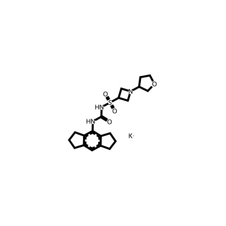 O=C(Nc1c2c(cc3c1CCC3)CCC2)NS(=O)(=O)C1CN(C2CCOC2)C1.[K]